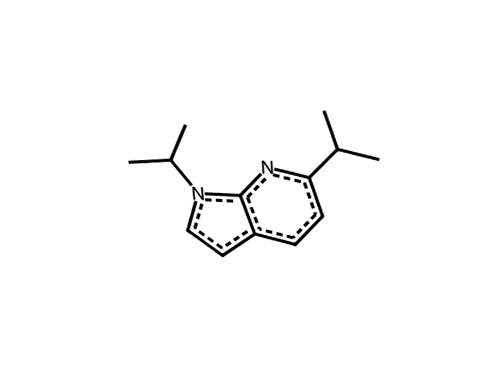 CC(C)c1ccc2ccn(C(C)C)c2n1